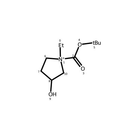 CC[N+]1(C(=O)OC(C)(C)C)CCC(O)C1